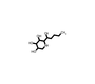 CCCCC(O)C1NCC(O)C(O)C1O